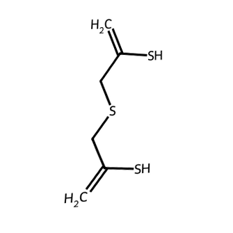 C=C(S)CSCC(=C)S